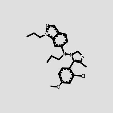 CCCN(c1ccc2cnn(CCC)c2c1)N1CSC(C)=C1c1ccc(OC)cc1Cl